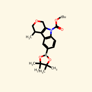 CC1COCc2c1c1cc(B3OC(C)(C)C(C)(C)O3)ccc1n2C(=O)OC(C)(C)C